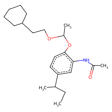 CCC(C)c1ccc(OC(C)OCCC2CCCCC2)c(NC(C)=O)c1